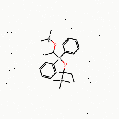 CCC(C)(O[Si](c1ccccc1)(c1ccccc1)C(C)O[SiH](C)C)[Si](C)(C)C